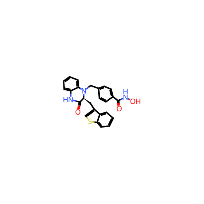 O=C(NO)c1ccc(CN2c3ccccc3NC(=O)[C@@H]2Cc2csc3ccccc23)cc1